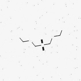 O=CCNCS(=O)(=O)CNCC=O